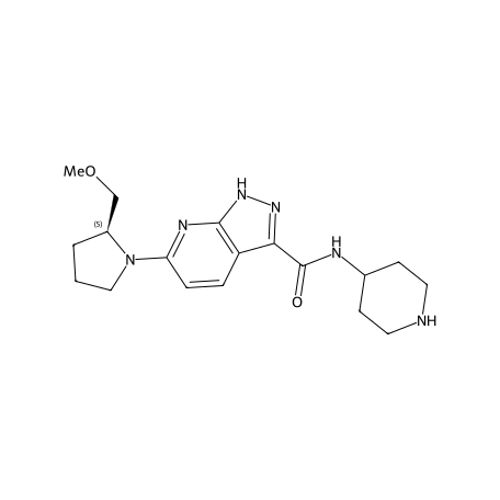 COC[C@@H]1CCCN1c1ccc2c(C(=O)NC3CCNCC3)n[nH]c2n1